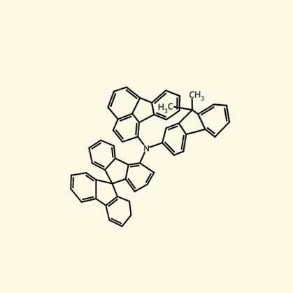 CC1(C)c2ccccc2-c2ccc(N(c3cccc4c3-c3ccccc3C43C4=C(C=CCC4)c4ccccc43)c3ccc4cccc5c4c3-c3ccccc3-5)cc21